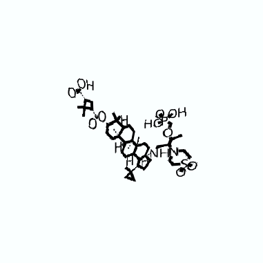 CC(OCP(=O)(O)O)C(CN[C@]12CC[C@@H](C3(C)CC3)[C@@H]1[C@H]1CC[C@@H]3[C@@]4(C)CC[C@H](OC(=O)[C@H]5C[C@@H](C(=O)O)C5(C)C)C(C)(C)[C@@H]4CC[C@@]3(C)[C@]1(C)CC2)N1CCS(=O)(=O)CC1